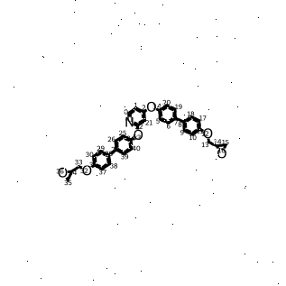 c1cc(Oc2ccc(-c3ccc(OCC4CO4)cc3)cc2)cc(Oc2ccc(-c3ccc(OCC4CO4)cc3)cc2)n1